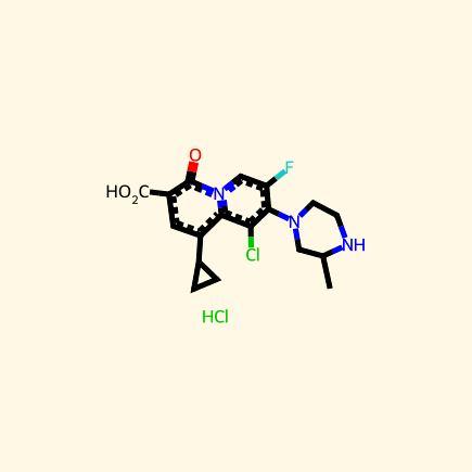 CC1CN(c2c(F)cn3c(=O)c(C(=O)O)cc(C4CC4)c3c2Cl)CCN1.Cl